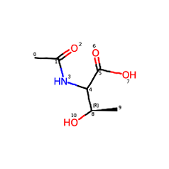 CC(=O)NC(C(=O)O)[C@@H](C)O